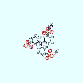 O=S(=O)([O-])c1cccc(P(c2cccc(S(=O)(=O)[O-])c2)c2cccc(S(=O)(=O)[O-])c2)c1.[K+].[K+].[K+]